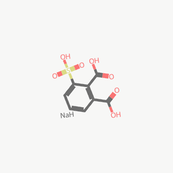 O=C(O)c1cccc(S(=O)(=O)O)c1C(=O)O.[NaH]